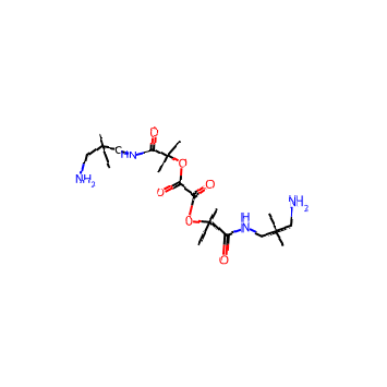 CC(C)(CN)CNC(=O)C(C)(C)OC(=O)C(=O)OC(C)(C)C(=O)NCC(C)(C)CN